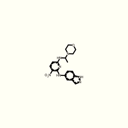 CC(Nc1ccc([N+](=O)[O-])c(Nc2ccc3[nH]ncc3c2)n1)N1CCOCC1